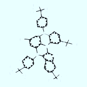 Cc1cc2c3c(c1)N(c1ccc(C(C)(C)C)cc1)c1c(sc4cc(C(C)(C)C)ccc14)B3c1cc(C(C)(C)C)ccc1N2c1ccc(C(C)(C)C)cc1